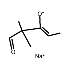 CC=C([O-])C(C)(C)C=O.[Na+]